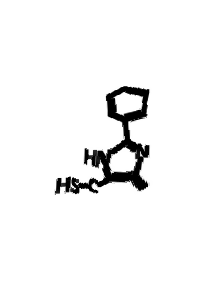 Cc1nc(-c2ccccc2)[nH]c1CS